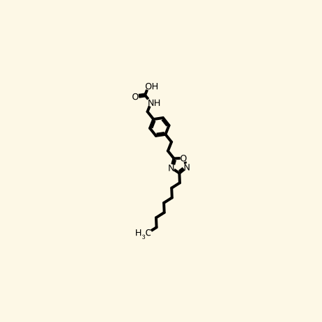 CCCCCCCCc1noc(CCc2ccc(CNC(=O)O)cc2)n1